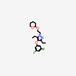 CCc1nn(CCOC2CCCCO2)c(CC)c1Oc1cc(F)cc(F)c1